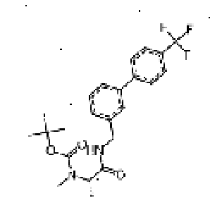 C[C@@H](C(=O)NCc1cccc(-c2ccc(C(F)(F)F)cc2)c1)N(C)C(=O)OC(C)(C)C